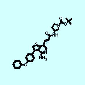 CC(C)(C)OC(=O)N1CCC(NC(=O)/C=C/c2cnc(N)c3c(-c4ccc(Oc5ccccc5)cc4)csc23)C1